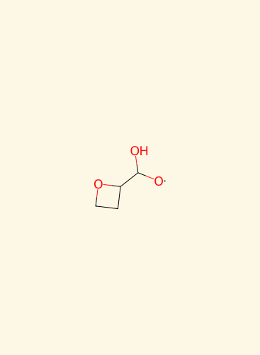 [O]C(O)C1CCO1